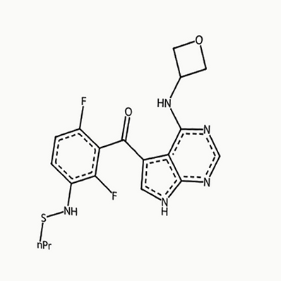 CCCSNc1ccc(F)c(C(=O)c2c[nH]c3ncnc(NC4COC4)c23)c1F